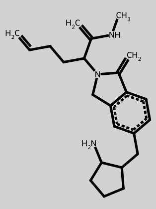 C=CCCC(C(=C)NC)N1Cc2cc(CC3CCCC3N)ccc2C1=C